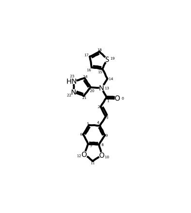 O=C(/C=C/c1ccc2c(c1)OCO2)N(Cc1cccs1)c1cn[nH]c1